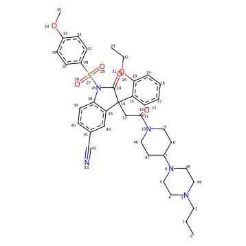 CCCN1CCN(C2CCN(C(=O)CC3(c4ccccc4OCC)C(=O)N(S(=O)(=O)c4ccc(OC)cc4)c4ccc(C#N)cc43)CC2)CC1